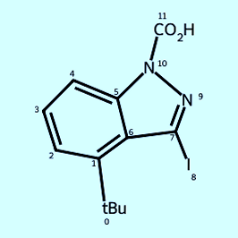 CC(C)(C)c1cccc2c1c(I)nn2C(=O)O